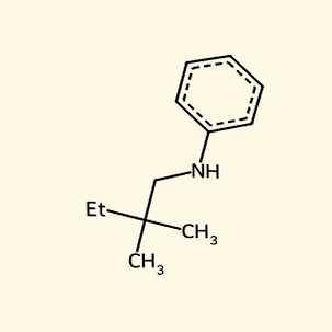 CCC(C)(C)CNc1ccccc1